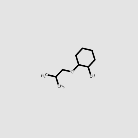 CC(C)COC1CCC[CH]C1O